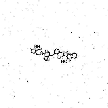 C[C@@H]1C(C(=O)Nc2cccc(Sc3cnc(N4CCC5(CCCC5N)CC4)n4ccnc34)c2Cl)=C(O)N=C2C=CC=CN21